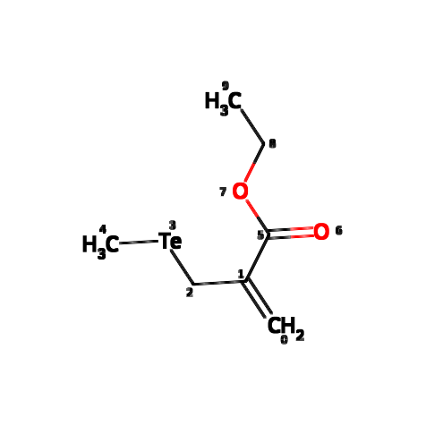 C=C(C[Te]C)C(=O)OCC